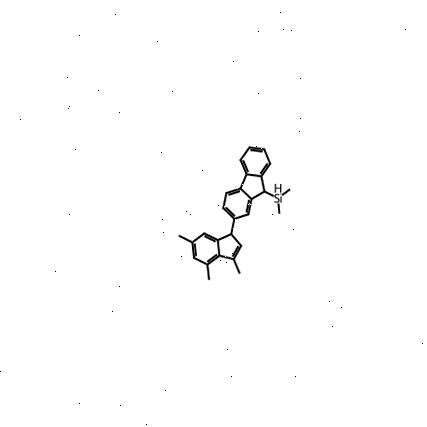 CC1=CC(c2ccc3c(c2)C([SiH](C)C)c2ccccc2-3)c2cc(C)cc(C)c21